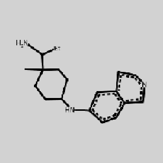 CCC(N)C1(C)CCC(Nc2ccc3cnccc3c2)CC1